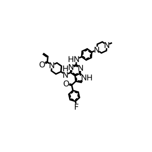 C=CC(=O)N1CCC(Nc2nc(Nc3ccc(N4CCN(C)CC4)cc3)nc3[nH]cc(C(=O)c4ccc(F)cc4)c23)CC1